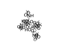 C=C(C)OC(=O)N[C@@H]1CC=C(CNCC2CCCN2C(=O)OC(C)(C)C)O[C@@H]1C1[C@@H](NC(=O)OC(C)(C)C)C[C@@H](NC(=O)[C@@H](O)CCNC(=O)OC(C)(C)C)[C@H](O[C@H]2OC[C@](C)(O)[C@H](N(C)C(=O)OC(C)(C)C)[C@H]2O)[C@H]1O